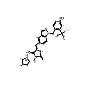 O=C1S/C(=C\c2ccc3c(cnn3Cc3ccc(Cl)cc3C(F)(F)F)c2)C(=O)N1C[C@@H]1C[C@@H](F)CN1